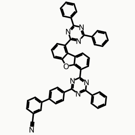 N#Cc1cccc(-c2ccc(-c3nc(-c4ccccc4)nc(-c4cccc5c4oc4cccc(-c6nc(-c7ccccc7)nc(-c7ccccc7)n6)c45)n3)cc2)c1